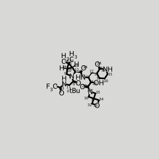 CC(C)(C)[C@H](NC(=O)C(F)(F)F)C(=O)N1C[C@H]2[C@@H]([C@H]1C(=O)N[C@@H](C[C@@H]1CCCNC1=O)C(O)C(=O)N1CC3(COC3)C1)C2(C)C